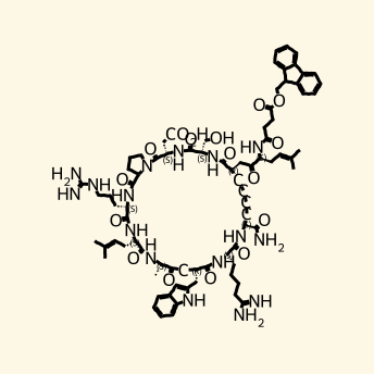 CC(C)=CC[C@H](NC(=O)CCC(=O)OCC1c2ccccc2-c2ccccc21)C(=O)C[C@H]1CCCC[C@@H](C(N)=O)NC(=O)[C@H](CCCCC(=N)N)NC(=O)[C@H](Cc2cc3ccccc3[nH]2)CC(=O)[C@H](C)NC(=O)[C@H](CC=C(C)C)NC(=O)[C@H](CCCNC(=N)N)NC(=O)C2CCCN2C(=O)[C@H](CC(=O)O)NC(=O)[C@H](CO)NC1=O